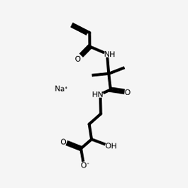 C=CC(=O)NC(C)(C)C(=O)NCCC(O)C(=O)[O-].[Na+]